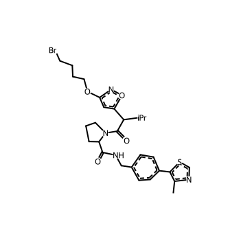 Cc1ncsc1-c1ccc(CNC(=O)C2CCCN2C(=O)C(c2cc(OCCCCBr)no2)C(C)C)cc1